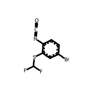 O=C=Nc1ccc(Br)cc1SC(F)F